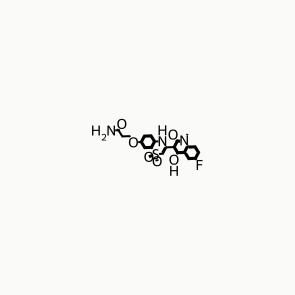 Cn1c(=O)c(C2=CS(=O)(=O)c3cc(OCCC(N)=O)ccc3N2)c(O)c2cc(F)ccc21